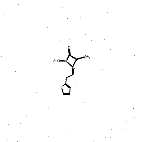 CC(=O)ON1C(=O)C(N)C1=CCc1ccco1